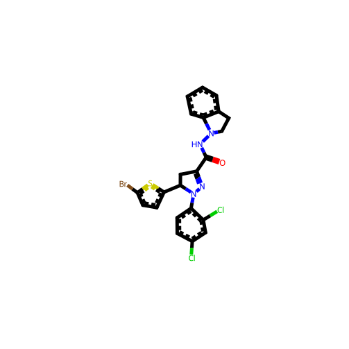 O=C(NN1CCc2ccccc21)C1=NN(c2ccc(Cl)cc2Cl)C(c2ccc(Br)s2)C1